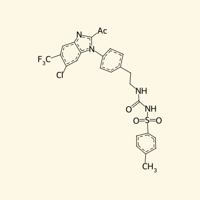 CC(=O)c1nc2cc(C(F)(F)F)c(Cl)cc2n1-c1ccc(CCNC(=O)NS(=O)(=O)c2ccc(C)cc2)cc1